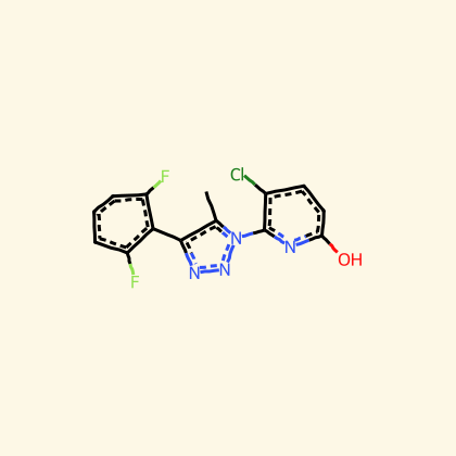 Cc1c(-c2c(F)cccc2F)nnn1-c1nc(O)ccc1Cl